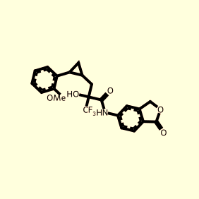 COc1ccccc1C1CC1CC(O)(C(=O)Nc1ccc2c(c1)COC2=O)C(F)(F)F